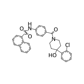 O=C(c1ccc(NS(=O)(=O)c2cccc3ccccc23)cc1)N1CCC(O)(c2ccccc2Cl)CC1